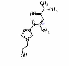 CC(C)C(=N)/C=C(/N)Nc1cnn(CCO)c1